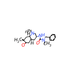 C=C1C[C@@H]2[C@@H](CC1=O)C[C@H](NC(=O)N(C)Cc1ccccc1)CN2CCC